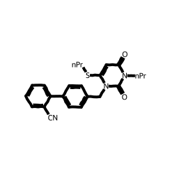 CCCSc1cc(=O)n(CCC)c(=O)n1Cc1ccc(-c2ccccc2C#N)cc1